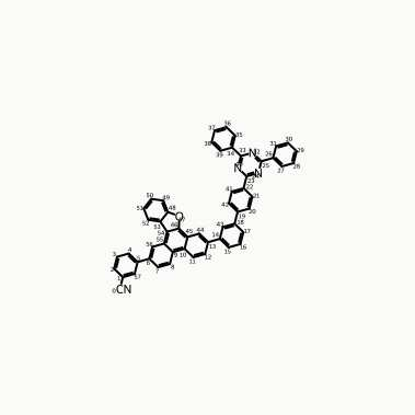 N#Cc1cccc(-c2ccc3c4ccc(-c5cccc(-c6ccc(-c7nc(-c8ccccc8)nc(-c8ccccc8)n7)cc6)c5)cc4c4oc5ccccc5c4c3c2)c1